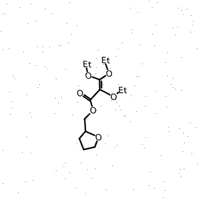 CCOC(OCC)=C(OCC)C(=O)OCC1CCCO1